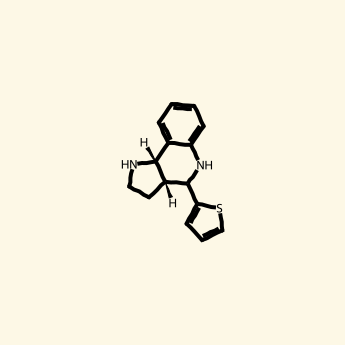 c1csc(C2Nc3ccccc3[C@H]3NCC[C@@H]23)c1